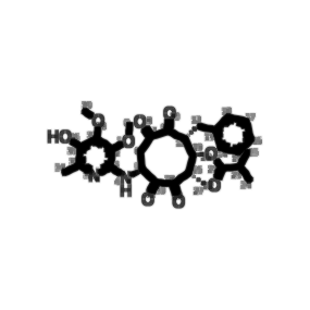 COc1c(N[C@H]2CC(=O)C(=O)[C@H](Cc3ccccc3)[C@H](OC(=O)C(C)C)[C@H](C)C(=O)C2=O)nc(C)c(O)c1OC